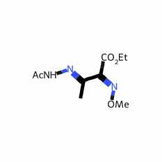 CCOC(=O)C(=NOC)C(C)=NNC(C)=O